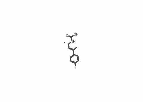 CC(=C[C@H](C)NC(=O)O)c1ccc(I)cc1